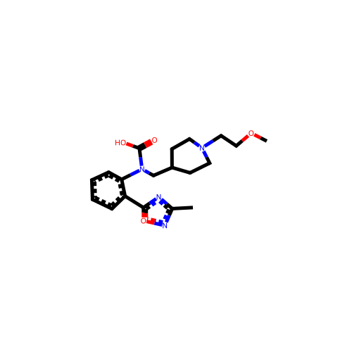 COCCN1CCC(CN(C(=O)O)c2ccccc2-c2nc(C)no2)CC1